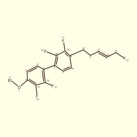 CCOc1ccc(-c2ccc(CC/C=C/CF)c(F)c2F)c(F)c1F